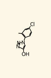 Cc1cc(Cl)ccc1-n1cc(O)nn1